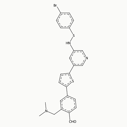 CN(C)Cc1cc(-c2ccc(-c3cncc(NSc4ccc(Br)cc4)c3)s2)ccc1C=O